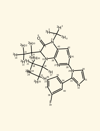 [2H]C([2H])([2H])N1C(=O)C(C([2H])([2H])C([2H])([2H])[2H])N(C([2H])(C([2H])([2H])[2H])C([2H])([2H])[2H])c2nc(-n3ccnc3-c3cccc(F)c3)ncc21